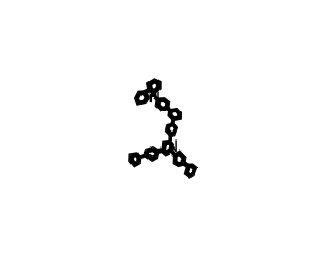 c1ccc(-c2ccc(-c3cc(-c4ccc(-c5ccccc5)cc4)nc(-c4ccc(-c5cccc(-c6ccc(-n7c8ccccc8c8ccccc87)cc6)c5)cc4)c3)cc2)cc1